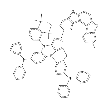 Cc1ccc2c(c1)oc1ccc3oc4ccc(-c5cc6c7c(c5)N(c5cccc8c5C(C)(C)CCC8(C)C)c5cc(N(c8ccccc8)c8ccccc8)ccc5B7c5ccc(N(c7ccccc7)c7ccccc7)cc5S6)cc4c3c12